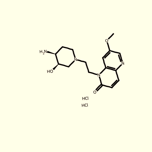 COc1cnc2ccc(=O)n(CCN3CC[C@H](N)[C@H](O)C3)c2c1.Cl.Cl